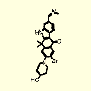 C/N=C\c1ccc2c3c([nH]c2c1)C(C)(C)c1cc(N2CCC(O)CC2)c(Br)cc1C3=O